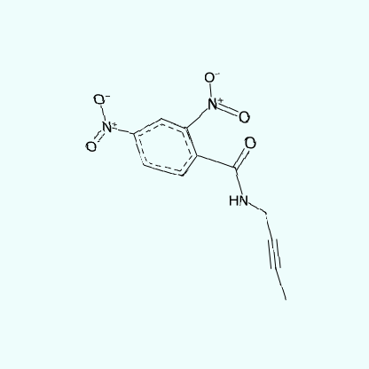 CC#CCNC(=O)c1ccc([N+](=O)[O-])cc1[N+](=O)[O-]